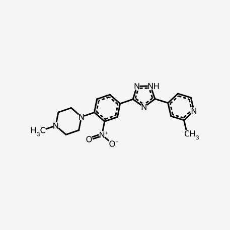 Cc1cc(-c2nc(-c3ccc(N4CCN(C)CC4)c([N+](=O)[O-])c3)n[nH]2)ccn1